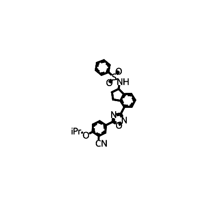 CC(C)Oc1ccc(-c2nc(-c3cccc4c3CCC4NS(=O)(=O)c3ccccc3)no2)cc1C#N